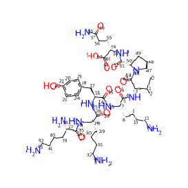 CC(C)[C@H](NC(=O)[C@H](CCCCN)NC(=O)[C@H](Cc1ccc(O)cc1)NC(=O)[C@H](CCCCN)NC(=O)[C@@H](N)CCCCN)C(=O)N1CCC[C@H]1C(=O)N[C@@H](CCC(N)=O)C(=O)O